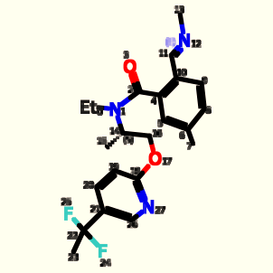 CCN(C(=O)c1cc(C)ccc1/C=N/C)[C@@H](C)COc1ccc(C(C)(F)F)cn1